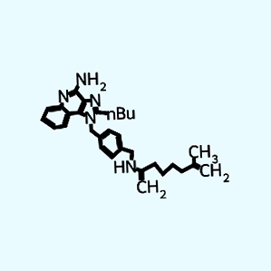 C=C(C)CCCCC(=C)NCc1ccc(Cn2c(CCCC)nc3c(N)nc4ccccc4c32)cc1